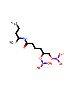 CSCCC(NC(=O)CCCC(CON(O)O)ON(O)O)C(=O)O